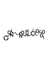 CCOC(=O)C(C)(C)Oc1c(C)cc(CNCc2nc(CCc3nc(-c4ccccc4)oc3C)co2)cc1C